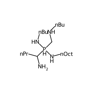 CCCCCCCCN[PH](CNCCCC)(NCCCC)C(N)CCC